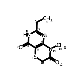 CCc1nc2c(c(=O)[nH]1)SCC(=O)N2C